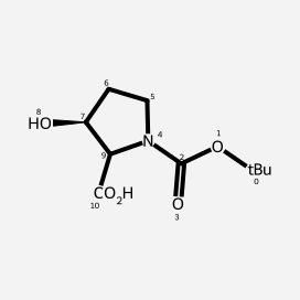 CC(C)(C)OC(=O)N1CC[C@H](O)C1C(=O)O